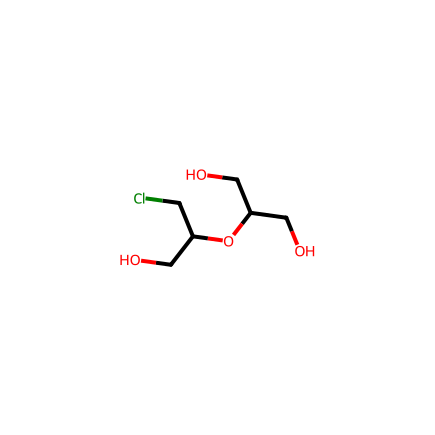 OCC(CO)OC(CO)CCl